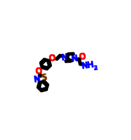 NCC(=O)N1CC2CC1CN2CCOc1ccc(Oc2nc3ccccc3s2)cc1